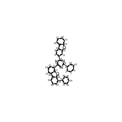 c1ccc(-c2nc(-c3ccc4c(c3)oc3ccccc34)nc(-c3cccc4c3oc3c(-c5ccccc5)cccc34)n2)cc1